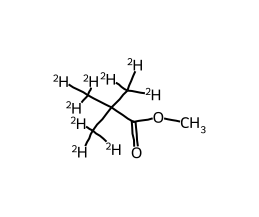 [2H]C([2H])([2H])C(C(=O)OC)(C([2H])([2H])[2H])C([2H])([2H])[2H]